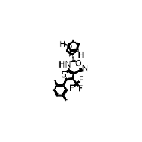 Cc1ccc(C)c(-c2sc(NC(=O)[C@@H]3C[C@@H]4CC[C@@H]3C4)c(C#N)c2C(F)(F)F)c1